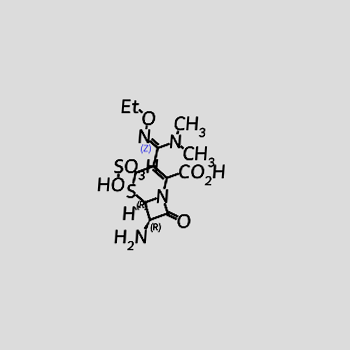 CCO/N=C(/C1=C(C(=O)O)N2C(=O)[C@@H](N)[C@H]2SC1)N(C)C.O=S(=O)(O)O